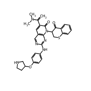 C=C(c1cc2cnc(Nc3ccc(OC4CCNC4)cc3)nc2n(C2CSc3ccccc3C2=O)c1=O)N(C)C